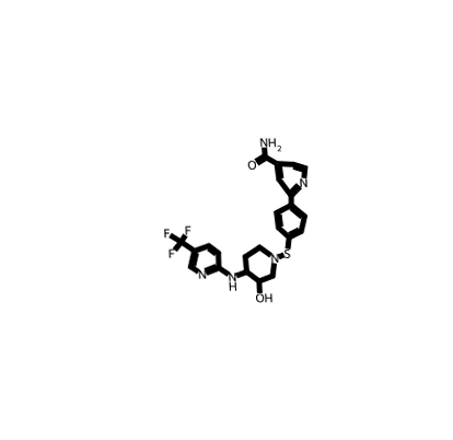 NC(=O)c1ccnc(-c2ccc(SN3CCC(Nc4ccc(C(F)(F)F)cn4)C(O)C3)cc2)c1